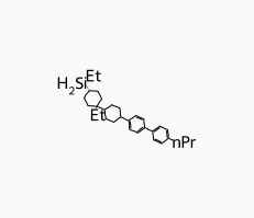 CCCc1ccc(-c2ccc(C3CCC([C@]4(CC)CC[C@@H]([SiH2]CC)CC4)CC3)cc2)cc1